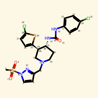 CS(=O)(=O)n1ccc(CN2CC[C@@H](NC(=O)Nc3ccc(Cl)cc3)[C@H](c3ccc(Cl)s3)C2)n1